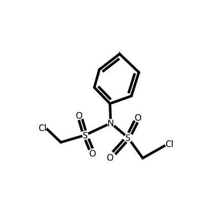 O=S(=O)(CCl)N(c1cc[c]cc1)S(=O)(=O)CCl